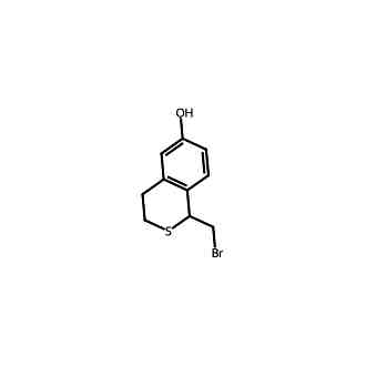 Oc1ccc2c(c1)CCSC2CBr